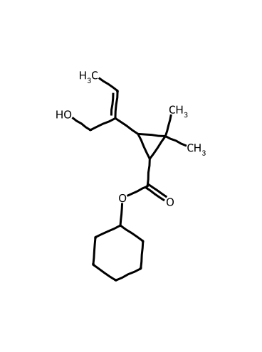 CC=C(CO)C1C(C(=O)OC2CCCCC2)C1(C)C